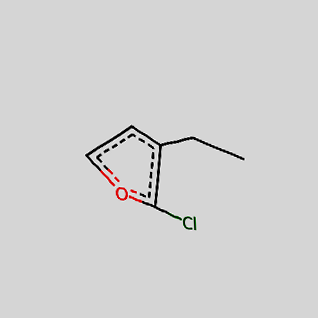 CCc1ccoc1Cl